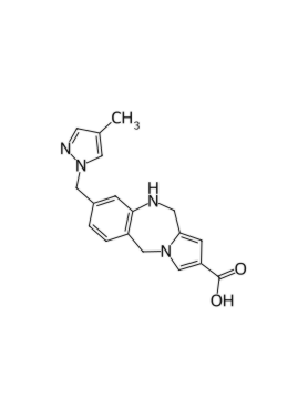 Cc1cnn(Cc2ccc3c(c2)NCc2cc(C(=O)O)cn2C3)c1